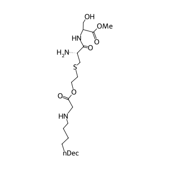 CCCCCCCCCCCCCCNCC(=O)OCCSC[C@H](N)C(=O)NC(CO)C(=O)OC